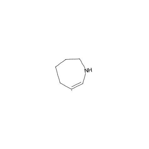 [C]1=CNCCCC1